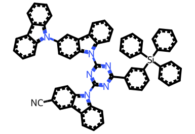 N#Cc1ccc2c(c1)c1ccccc1n2-c1nc(-c2cccc([Si](c3ccccc3)(c3ccccc3)c3ccccc3)c2)nc(-n2c3ccccc3c3cc(-n4c5ccccc5c5ccccc54)ccc32)n1